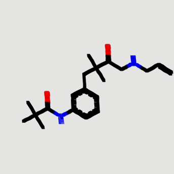 C=CCNCC(=O)C(C)(C)Cc1cccc(NC(=O)C(C)(C)C)c1